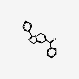 O=C(C1=CCN2C(=C1)CN=C2c1ccccc1)c1ccccc1